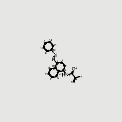 C=C(C)C(=O)Nc1ccc(N=Nc2ccccc2)c2ccccc12